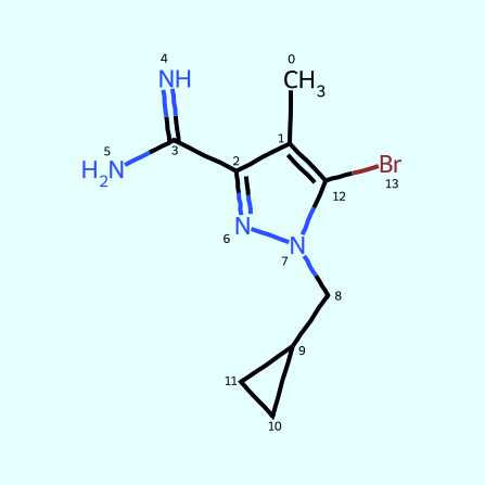 Cc1c(C(=N)N)nn(CC2CC2)c1Br